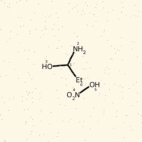 CCC(N)O.O=[N+]([O-])O